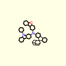 c1ccc(-n2c3ccccc3c3ccc(N(c4ccc5c(c4)C4(c6ccccc6-5)C5CC6CC(C5)CC4C6)c4ccc5oc6ccccc6c5c4)cc32)cc1